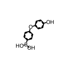 OB(O)c1ccc(Oc2ccc(O)cc2)cc1